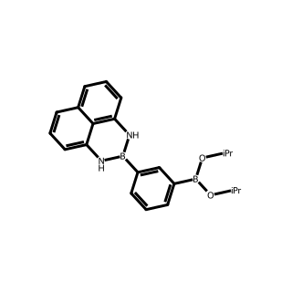 CC(C)OB(OC(C)C)c1cccc(B2Nc3cccc4cccc(c34)N2)c1